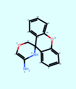 NC1=COCC2(N1)c1ccccc1Oc1ccccc12